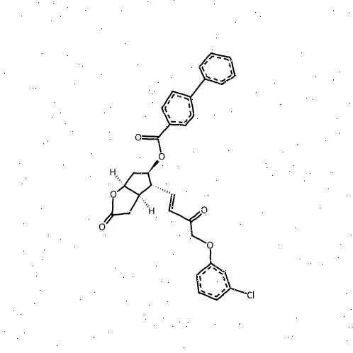 O=C(C=C[C@@H]1[C@H]2CC(=O)O[C@H]2C[C@H]1OC(=O)c1ccc(-c2ccccc2)cc1)COc1cccc(Cl)c1